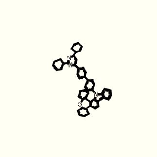 C1=CCCC(c2nc(-c3ccc(-c4ccc(-n5c6ccccc6c6ccc7c(c65)-c5ccccc5Oc5ccccc5-7)cc4)cc3)cc(C3C=CC=CC3)n2)=C1